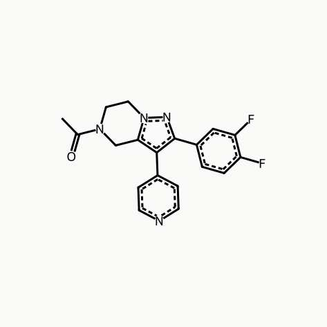 CC(=O)N1CCn2nc(-c3ccc(F)c(F)c3)c(-c3ccncc3)c2C1